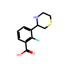 O=C(O)c1cccc(C2CSCCN2)c1F